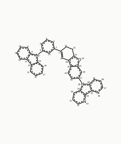 C1=C(c2cccc(-n3c4ccccc4c4ccccc43)c2)CCc2oc3cc(-n4c5cccnc5c5ncccc54)ccc3c21